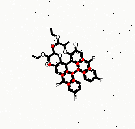 CCOC(=O)C(C)Oc1c(Cl)ccc(P(c2ccc(F)cc2)c2ccc(F)cc2)c1-c1c(P(c2ccc(F)cc2)c2ccc(F)cc2)ccc(Cl)c1OC(C)C(=O)OCC